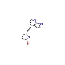 COc1cccc(C#Cc2ccnc3[nH]ccc23)n1